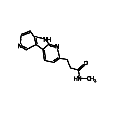 CNC(=O)CCc1ccc2c(n1)[nH]c1ccncc12